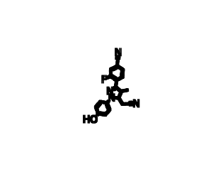 CC1C(c2ccc(C#N)cc2F)=NN(c2ccc(O)cc2)C1CC#N